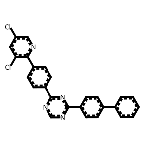 Clc1cnc(-c2ccc(-c3ncnc(-c4ccc(-c5ccccc5)cc4)n3)cc2)c(Cl)c1